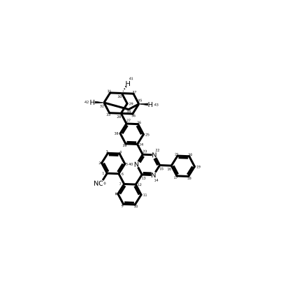 N#Cc1ccccc1-c1ccccc1-c1nc(-c2ccccc2)nc(-c2ccc(C34C[C@H]5C[C@@H](C3)C[C@@H](C4)C5)cc2)n1